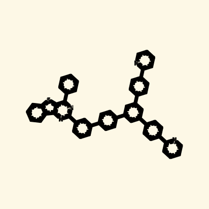 c1ccc(-c2nc(-c3cccc(-c4ccc(-c5cc(-c6ccc(-c7ccccn7)cc6)cc(-c6ccc(-c7ccccn7)cc6)c5)cc4)c3)nc3c2sc2ccccc23)cc1